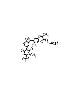 C#CCOC(=O)C(C)Oc1ccc(C)c(-c2noc3ccc(-n4c(=O)cc(C(F)(F)F)n(C)c4=O)cc23)c1